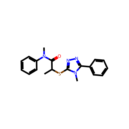 CC(Sc1nnc(-c2ccccc2)n1C)C(=O)N(C)c1ccccc1